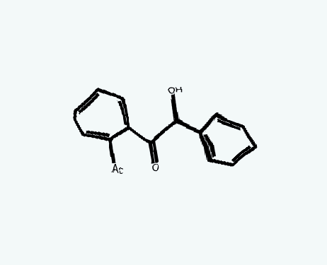 CC(=O)c1ccccc1C(=O)C(O)c1ccccc1